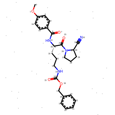 COc1ccc(C(=O)N[C@@H](CCCNC(=O)OCc2ccccc2)C(=O)N2CCCC2C#N)cc1